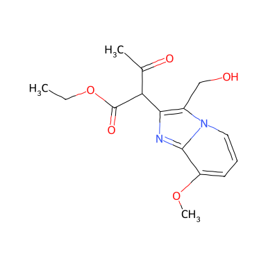 CCOC(=O)C(C(C)=O)c1nc2c(OC)cccn2c1CO